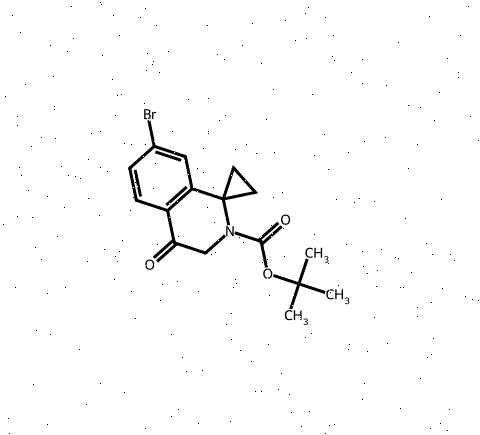 CC(C)(C)OC(=O)N1CC(=O)c2ccc(Br)cc2C12CC2